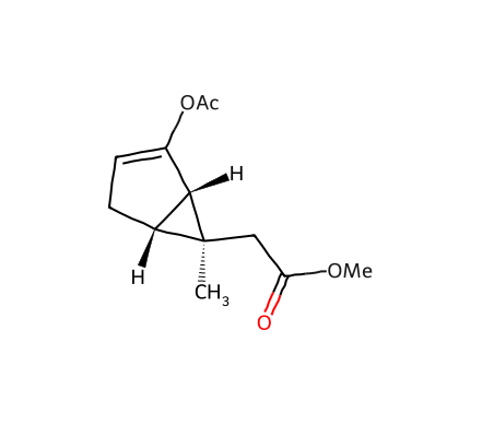 COC(=O)C[C@@]1(C)[C@@H]2CC=C(OC(C)=O)[C@@H]21